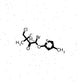 Cc1csc(OC(Br)C(=O)C(C)(C)CCl)c1